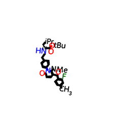 CNc1c(C(=O)c2ccc(C)cc2F)ccc(=O)n1-c1ccc(CCN[C@@H](CC(C)C)C(=O)OC(C)(C)C)cc1